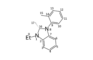 CCN1c2ccccc2N(c2ccccc2C)[C@H]1C